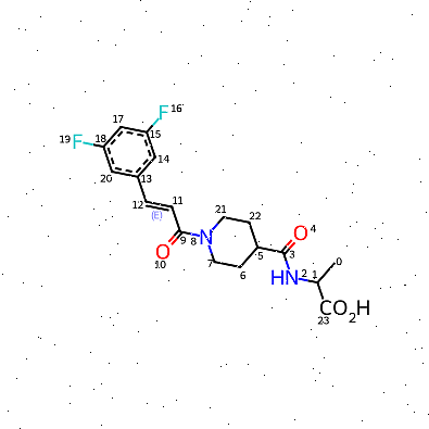 CC(NC(=O)C1CCN(C(=O)/C=C/c2cc(F)cc(F)c2)CC1)C(=O)O